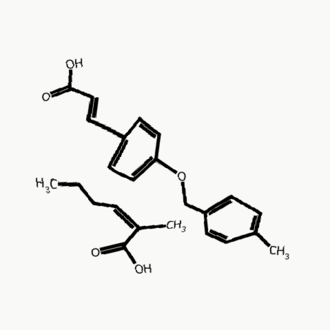 CCCC=C(C)C(=O)O.Cc1ccc(COc2ccc(C=CC(=O)O)cc2)cc1